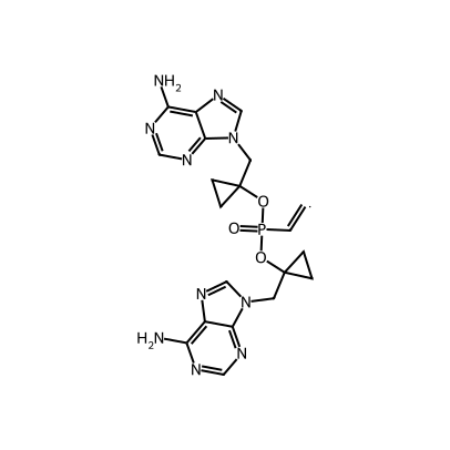 [CH]=CP(=O)(OC1(Cn2cnc3c(N)ncnc32)CC1)OC1(Cn2cnc3c(N)ncnc32)CC1